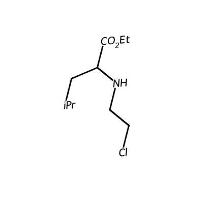 CCOC(=O)C(CC(C)C)NCCCl